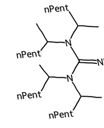 CCCCCC(C)N(C(=N)N(C(C)CCCCC)C(C)CCCCC)C(C)CCCCC